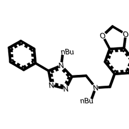 CCCCN(Cc1ccc2c(c1)OCO2)Cc1nnc(-c2ccccc2)n1CCCC